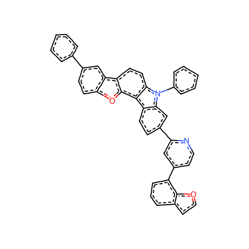 c1ccc(-c2ccc3oc4c(ccc5c4c4ccc(-c6cc(-c7cccc8ccoc78)ccn6)cc4n5-c4ccccc4)c3c2)cc1